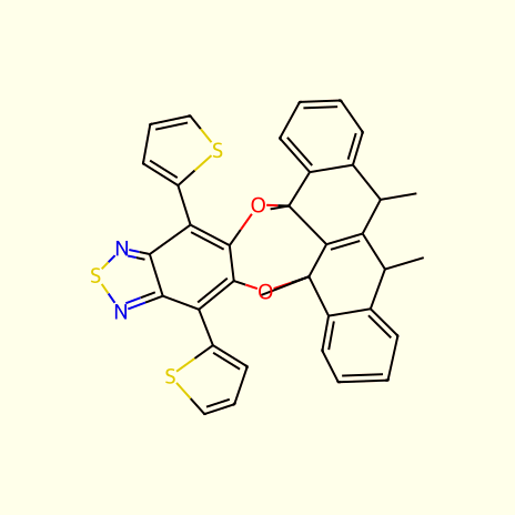 CC1C2=C3C(C)(Oc4c(c(-c5cccs5)c5nsnc5c4-c4cccs4)OC3(C)c3ccccc3C2C)c2ccccc21